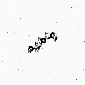 F[C@H]1C[C@H](NCc2cccn3ccnc23)CC[C@H]1NCc1cnc(-c2cccnc2)s1